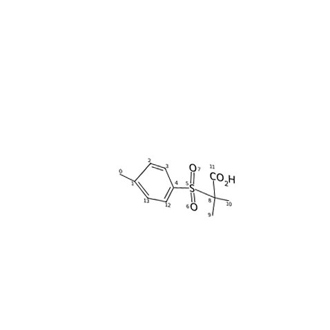 Cc1ccc(S(=O)(=O)C(C)(C)C(=O)O)cc1